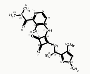 COc1cn(C)nc1[C@H](Nc1c(Nc2ccnc(C(=O)N(C)C)c2O)c(=O)c1=O)C(C)(C)C